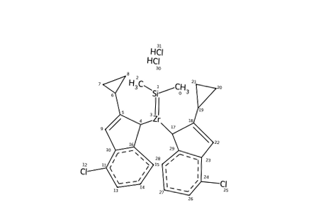 C[Si](C)=[Zr]([CH]1C(C2CC2)=Cc2c(Cl)cccc21)[CH]1C(C2CC2)=Cc2c(Cl)cccc21.Cl.Cl